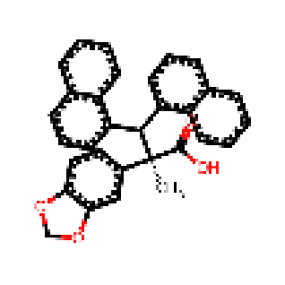 C[C@](C(=O)O)(c1ccc2c(c1)OCO2)C(c1cccc2ccccc12)c1cccc2ccccc12